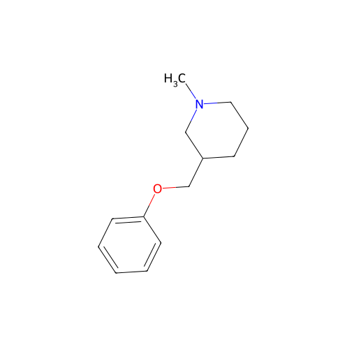 CN1CCCC(COc2ccccc2)C1